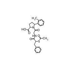 CC(=O)SC(Cc1ccccc1)C(=O)NCC(=O)N1C(C(=O)O)CCC1c1ccccc1C